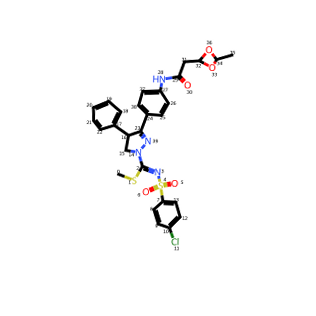 CS/C(=N\S(=O)(=O)c1ccc(Cl)cc1)N1CC(c2ccccc2)C(c2ccc(NC(=O)CC3OC(C)O3)cc2)=N1